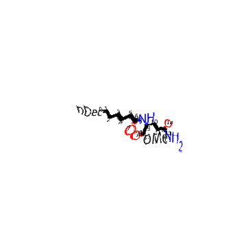 CCCCCCCCCCCCCCCC(=O)N[C@@H](CCC(N)=O)C(=O)OC